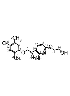 Cc1cc(OCc2n[nH]c3nc(OCCO)ccc23)c(C(C)(C)C)cc1Cl